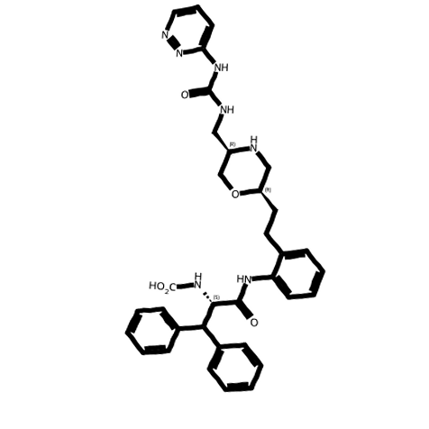 O=C(O)N[C@H](C(=O)Nc1ccccc1CC[C@@H]1CN[C@H](CNC(=O)Nc2cccnn2)CO1)C(c1ccccc1)c1ccccc1